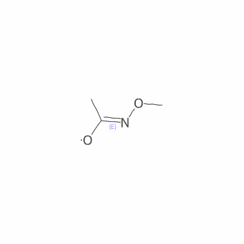 CO/N=C(\C)[O]